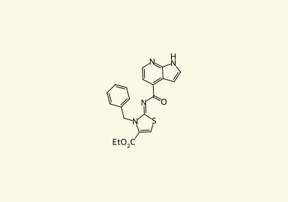 CCOC(=O)c1cs/c(=N\C(=O)c2ccnc3[nH]ccc23)n1Cc1ccccc1